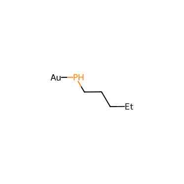 CCCCC[PH][Au]